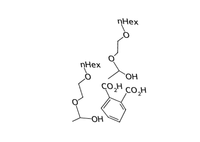 CCCCCCOCCOC(C)O.CCCCCCOCCOC(C)O.O=C(O)c1ccccc1C(=O)O